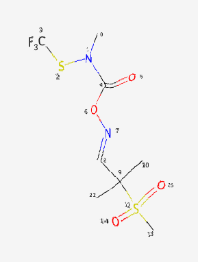 CN(SC(F)(F)F)C(=O)O/N=C/C(C)(C)S(C)(=O)=O